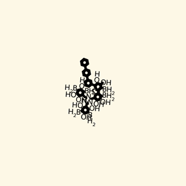 Bc1c(O)c(B)c(-c2nc(-c3c(O)c(B)c(O)c(B)c3O)nc(-c3c(O)c(O)c(B)c4c3sc3c(-c5cccc(-c6ccc(-c7ccccc7)cc6)c5)c(O)c(O)c(B)c34)n2)c(O)c1O